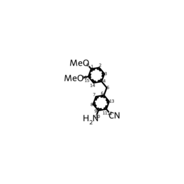 COc1ccc(Cc2ccc(N)c(C#N)c2)cc1OC